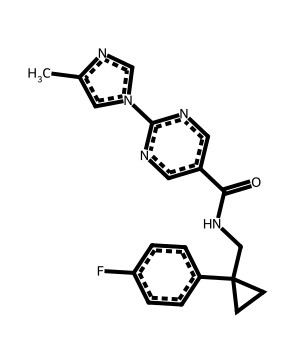 Cc1cn(-c2ncc(C(=O)NCC3(c4ccc(F)cc4)CC3)cn2)cn1